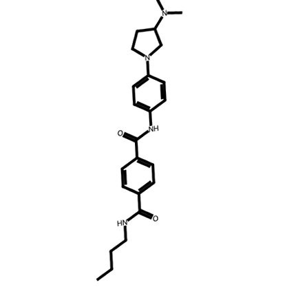 CCCCNC(=O)c1ccc(C(=O)Nc2ccc(N3CCC(N(C)C)C3)cc2)cc1